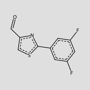 O=Cc1csc(-c2cc(F)cc(F)c2)n1